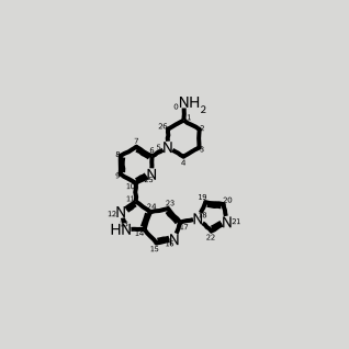 NC1CCCN(c2cccc(-c3n[nH]c4cnc(-n5ccnc5)cc34)n2)C1